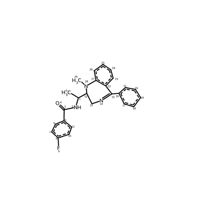 CC(NC(=O)c1ccc(F)cc1)C1CN=C(c2ccccc2)c2ccccc2N1C